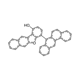 Oc1ccc(-c2c3ccccc3cc3c2ccc2ccccc23)c2oc3cc4ccccc4cc3c12